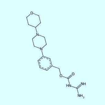 N=C(N)NC(=O)OCc1cccc(N2CCN(C3CCOCC3)CC2)c1